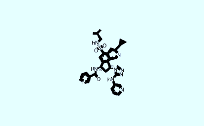 CC(C)CNS(=O)(=O)c1cc2c(c3cnc(C4CC4)cc13)[C@H](n1cnnc1Nc1cccnc1)C[C@H]2NC(=O)c1cccnc1